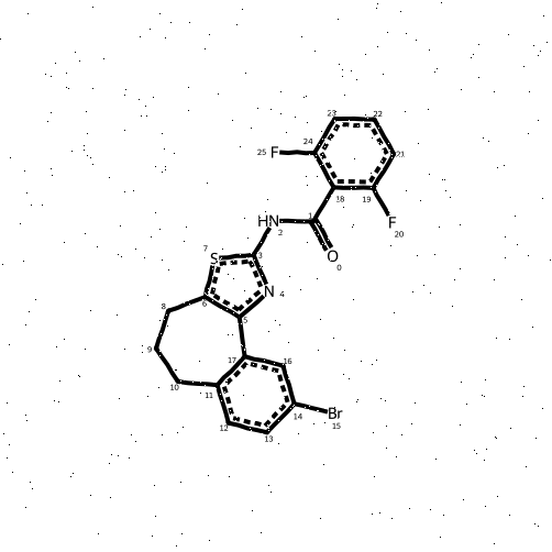 O=C(Nc1nc2c(s1)CCCc1ccc(Br)cc1-2)c1c(F)cccc1F